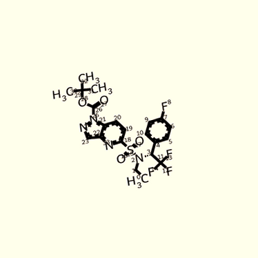 CCN([C@H](c1ccc(F)cc1)C(F)(F)F)S(=O)(=O)c1ccc2c(cnn2C(=O)OC(C)(C)C)n1